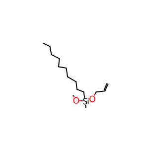 C=CCO[Si](C)(CCCCCCCCCC)OC